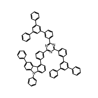 c1ccc(-c2cc(-c3ccccc3)cc(-c3cccc(-c4nc(-c5cccc(-c6cc(-c7ccccc7)cc(-c7ccccc7)c6)c5)nc(-c5cccc(-c6cccc7c6c6cc(-c8ccccc8)ccc6n7-c6ccccc6)c5)n4)c3)c2)cc1